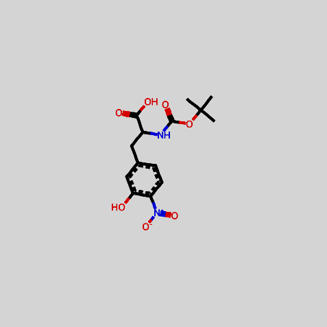 CC(C)(C)OC(=O)NC(Cc1ccc([N+](=O)[O-])c(O)c1)C(=O)O